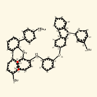 CC(C)(C)c1ccc(-c2cccc(-c3ccc(C(C)(C)C)cc3)c2Nc2ccccc2Nc2cccc(Oc3ccc4c5ccccc5n(-c5cc(C(C)(C)C)ccn5)c4c3)c2)cc1